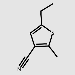 CCc1cc(C#N)c(C)s1